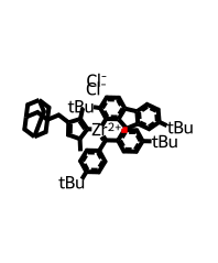 CC1=[C]([Zr+2](=[C](c2ccc(C(C)(C)C)cc2)c2ccc(C(C)(C)C)cc2)[c]2c(C(C)(C)C)ccc3c2Cc2cc(C(C)(C)C)ccc2-3)C(C)C=C1CC12CC3CC(CC(C3)C1)C2.[Cl-].[Cl-]